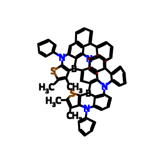 Cc1sc2c(c1C)B1c3cc4c(cc3N(c3ccccc3-c3ccccc3)c3cccc(c31)N2c1ccccc1)N(c1ccccc1-c1ccccc1)c1cccc2c1B4c1sc(C)c(C)c1N2c1ccccc1